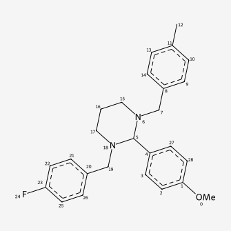 COc1ccc(C2N(Cc3ccc(C)cc3)CCCN2Cc2ccc(F)cc2)cc1